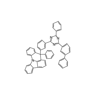 c1ccc(-c2cccc(-c3nc(-c4ccccc4)nc(-c4cccc(C5(c6ccccc6)c6ccccc6-n6c7ccccc7c7cccc5c76)c4)n3)c2)cc1